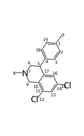 Cc1ccc(C2CN(C)Cc3c(Cl)cc(Cl)cc32)cc1